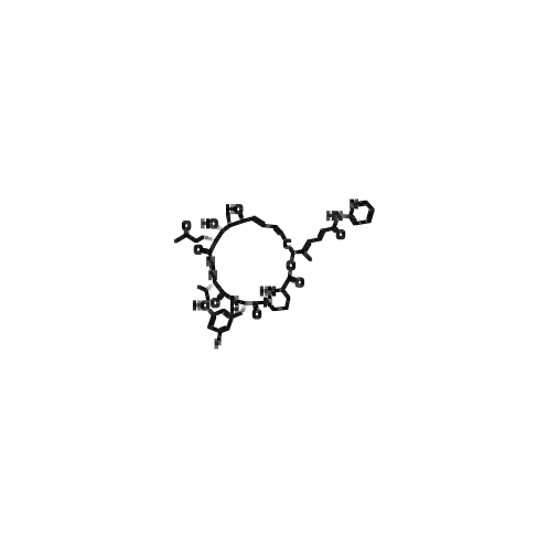 CC(=O)CC[C@H]1C(=O)N=N[C@@H](C(C)C)C(=O)N[C@@H](Cc2cc(O)cc(F)c2)C(=O)N2CCCC(N2)C(=O)O[C@H](/C(C)=C/C=C/C(=O)Nc2ccccn2)C/C=C/C=C/[C@H](O)[C@H](C)[C@H]1O